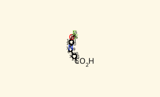 O=C(O)c1ccc(-c2ccn(-c3ccc(OC(F)F)cc3)c2)cc1